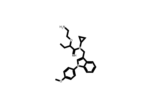 CCC(OCCN)C(=N)N(Cc1cn(-c2ccc(OC)cc2)c2ccccc12)C1CC1